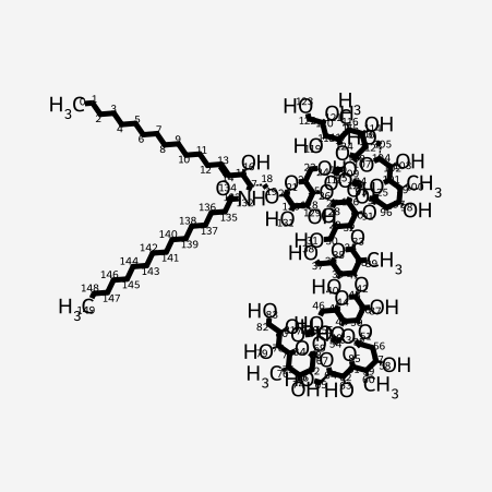 CCCCCCCCCCCCC/C=C/[C@@H](O)[C@H](CO[C@@H]1OC(CO)[C@@H](O[C@@H]2OC(CO)[C@H](O[C@@H]3OC(CO)[C@H](O)[C@H](O[C@@H]4OC(CO)[C@H](O)[C@H](O[C@]5(OC=O)C[C@@H](O)[C@@H](C)C([C@H](O)[C@@H](CO)O[C@]6(OC=O)C[C@@H](O)[C@@H](C)C([C@H](O)[C@H](O)CO)O6)O5)C4O)C3C)[C@H](O[C@]3(OC=O)C[C@@H](O)[C@@H](C)C([C@H](O)[C@@H](CO)O[C@]4(OC=O)C[C@@H](O)[C@@H](C)C([C@H](O)[C@H](O)CO)O4)O3)C2O)[C@H](O)C1O)NC(=O)CCCCCCCCCCCCCCC